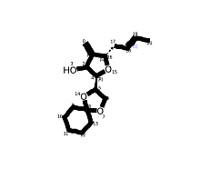 C=C1C(O)[C@H](C2COC3(CCCCC3)O2)O[C@H]1C/C=C/C